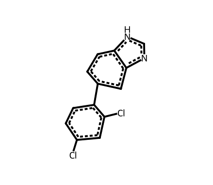 Clc1ccc(-c2ccc3[nH]cnc3c2)c(Cl)c1